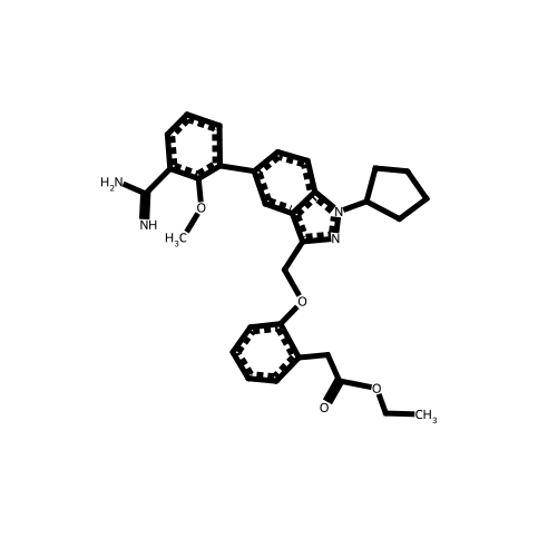 CCOC(=O)Cc1ccccc1OCc1nn(C2CCCC2)c2ccc(-c3cccc(C(=N)N)c3OC)cc12